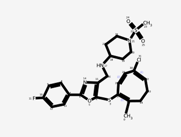 C/C1=C(Sc2oc(-c3ccc(F)cc3)nc2CNC2CCN(S(C)(=O)=O)CC2)/C=C\C(Cl)=C/CC1